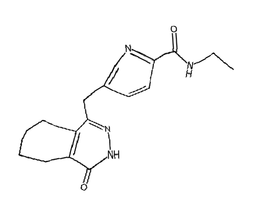 CCNC(=O)c1ccc(Cc2n[nH]c(=O)c3c2CCCC3)cn1